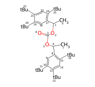 CC(OC(=O)OC(C)c1cc(C(C)(C)C)c(C(C)(C)C)cc1C(C)(C)C)c1cc(C(C)(C)C)c(C(C)(C)C)cc1C(C)(C)C